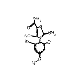 NC(=O)C1=C(C(F)(F)F)N(c2c(Br)cc(OC(F)(F)F)cc2Br)C(N)S1